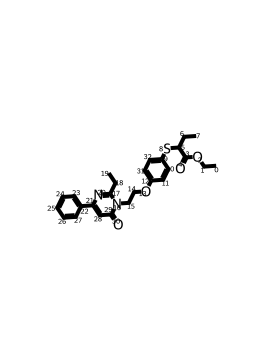 CCOC(=O)C(CC)Sc1ccc(OCCn2c(CC)nc(-c3ccccc3)cc2=O)cc1